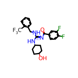 O=C(/N=C(\NCc1ccccc1C(F)(F)F)N[C@H]1CC[C@H](O)CC1)c1ccc(F)c(F)c1